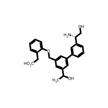 CC(O)c1cc(COc2ccccc2CC(=O)O)cc(-c2cccc([C@H](N)CO)c2)c1